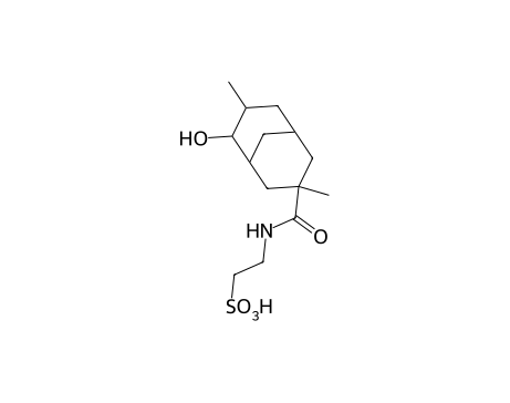 CC1CC2CC(CC(C)(C(=O)NCCS(=O)(=O)O)C2)C1O